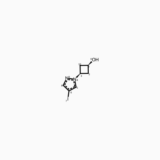 O[C@H]1C[C@@H](n2cc(I)cn2)C1